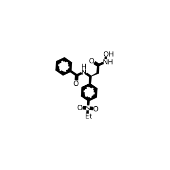 CCS(=O)(=O)c1ccc([C@H](CC(=O)NO)NC(=O)c2ccccc2)cc1